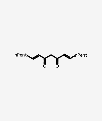 CCCCCC=CC(=O)CC(=O)C=CCCCCC